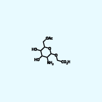 CC(=O)OCC1OC(OCC(=O)O)C(N)C(O)C1O